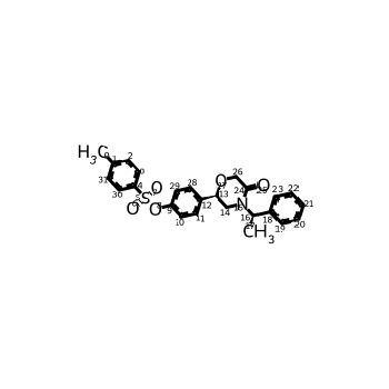 Cc1ccc(S(=O)(=O)Oc2ccc([C@@H]3CN([C@H](C)c4ccccc4)C(=O)CO3)cc2)cc1